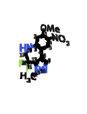 COc1cc2c(cc1[N+](=O)[O-])-c1cnn(C)c1C(F)(F)CN2